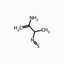 C=C(N)C(C)N=S